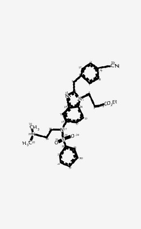 CCOC(=O)CCn1c(Cc2ccc(C#N)cc2)nc2cc(N(CCN(C)C)S(=O)(=O)c3ccccc3)ccc21